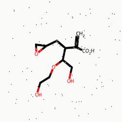 C=C(C(=O)O)C(CC1CO1)C(CO)OCCO